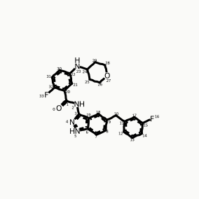 O=C(Nc1n[nH]c2ccc(Cc3cccc(F)c3)cc12)c1cc(NC2CCOCC2)ccc1F